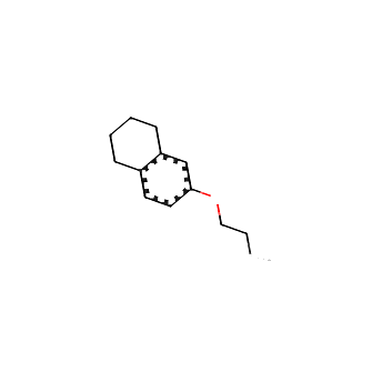 COCCOc1ccc2c(c1)CCCC2